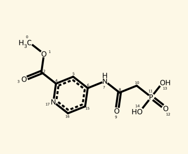 COC(=O)c1cc(NC(=O)CP(=O)(O)O)ccn1